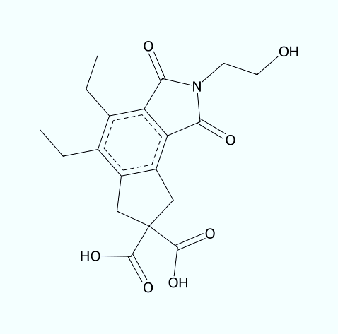 CCc1c2c(c3c(c1CC)C(=O)N(CCO)C3=O)CC(C(=O)O)(C(=O)O)C2